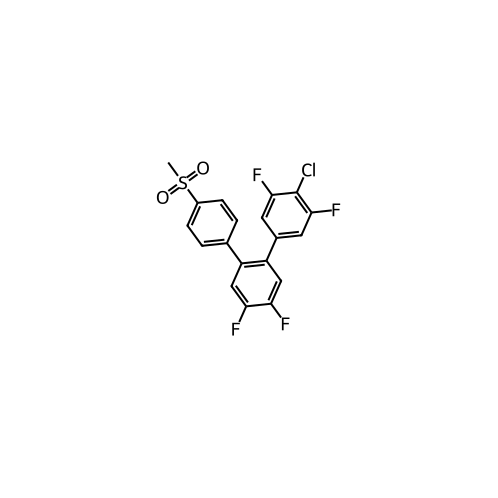 CS(=O)(=O)c1ccc(-c2cc(F)c(F)cc2-c2cc(F)c(Cl)c(F)c2)cc1